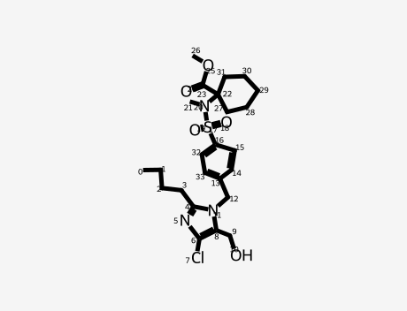 CCCCc1nc(Cl)c(CO)n1Cc1ccc(S(=O)(=O)N(C)C2(C(=O)OC)CCCCC2)cc1